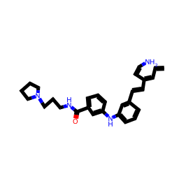 C=C/C=C(\C=C/N)/C=C/c1cccc(Nc2cccc(C(=O)NCCCN3CCCC3)c2)c1